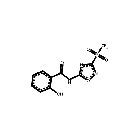 O=C(Nc1nc(S(=O)(=O)C(F)(F)F)no1)c1ccccc1O